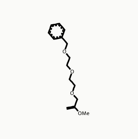 C=C(COCCOCCOCc1ccccc1)OC